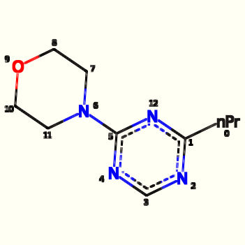 CCCc1ncnc(N2CCOCC2)n1